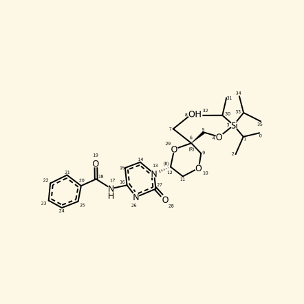 CC(C)[Si](OC[C@@]1(CO)COC[C@H](n2ccc(NC(=O)c3ccccc3)nc2=O)O1)(C(C)C)C(C)C